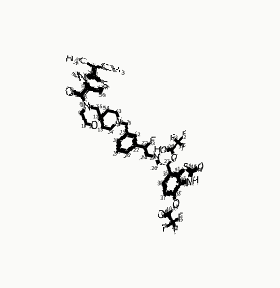 CC(C)c1nc(C(=O)N2CCOC3(CCN(Cc4cccc(C(F)CNC[C@H](OC(=O)C(F)(F)F)c5ccc(OC(=O)C(F)(F)F)c6[nH]c(=O)sc56)c4)CC3)C2)cs1